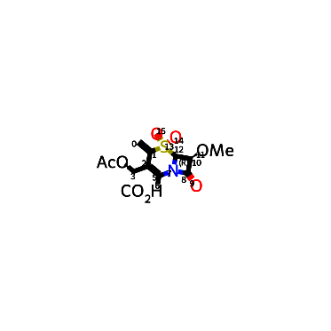 C=C1C(COC(C)=O)=C(C(=O)O)N2C(=O)[C@@H](OC)C2S1(=O)=O